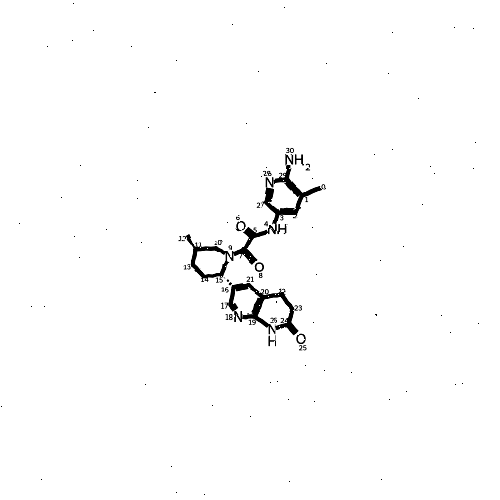 Cc1cc(NC(=O)C(=O)N2C[C@H](C)CC[C@H]2c2cnc3c(c2)CCC(=O)N3)cnc1N